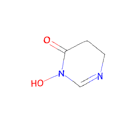 O=C1CCN=CN1O